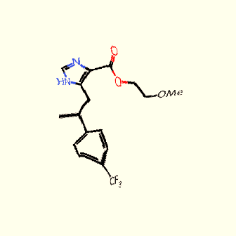 COCCOC(=O)c1nc[nH]c1CC(C)c1ccc(C(F)(F)F)cc1